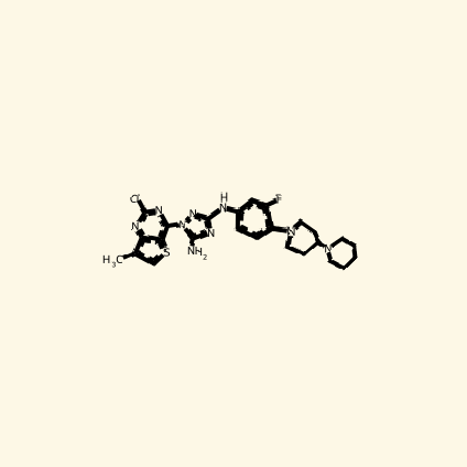 Cc1csc2c(-n3nc(Nc4ccc(N5CCC(N6CCCCC6)CC5)c(F)c4)nc3N)nc(Cl)nc12